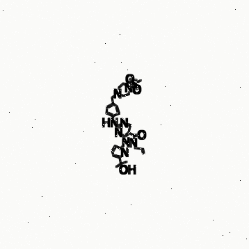 C=CCn1c(=O)c2cnc(Nc3ccc(CN4CCN(S(C)(=O)=O)CC4)cc3)nc2n1-c1cccc(C(C)(C)O)n1